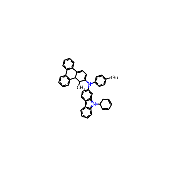 CC1C(N(c2ccc(C(C)(C)C)cc2)c2ccc3c4ccccc4n(C4C=CC=CC4)c3c2)=CC=C2c3ccccc3-c3ccccc3C21